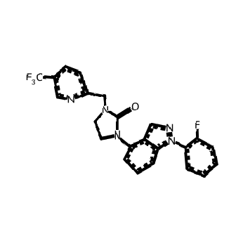 O=C1N(Cc2ccc(C(F)(F)F)cn2)CCN1c1cccc2c1cnn2-c1ccccc1F